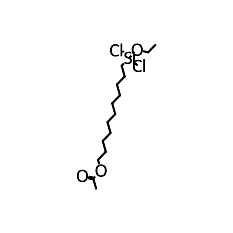 CCO[Si](Cl)(Cl)CCCCCCCCCCCOC(C)=O